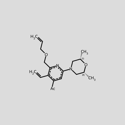 C=CCOCc1nc(N2C[C@@H](C)O[C@@H](C)C2)cc(C(C)=O)c1C=C